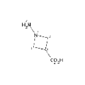 NN1CC(C(=O)O)C1